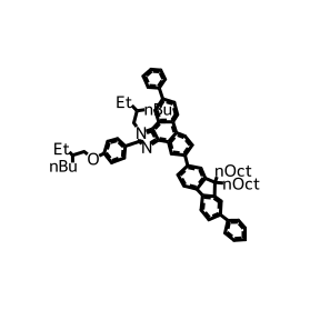 CCCCCCCCC1(CCCCCCCC)c2cc(-c3ccccc3)ccc2-c2ccc(-c3ccc4c5ccc(-c6ccccc6)cc5c5c(nc(-c6ccc(OCC(CC)CCCC)cc6)n5CC(CC)CCCC)c4c3)cc21